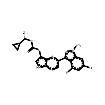 C[C@H](NC(=O)Oc1c[nH]c2ncc(-c3nn(C)c4cc(Cl)cc(F)c34)nc12)C1CC1